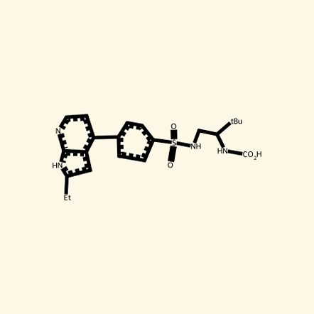 CCc1cc2c(-c3ccc(S(=O)(=O)NCC(NC(=O)O)C(C)(C)C)cc3)ccnc2[nH]1